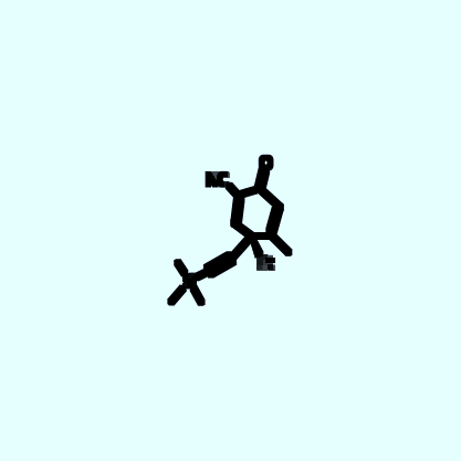 CC[C@@]1(C#C[Si](C)(C)C)C=C(C#N)C(=O)C=C1C